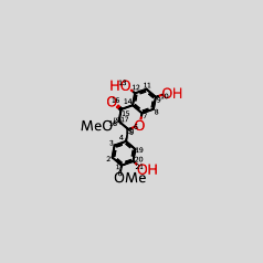 COc1ccc([C@@H]2Oc3cc(O)cc(O)c3C(=O)[C@H]2OC)cc1O